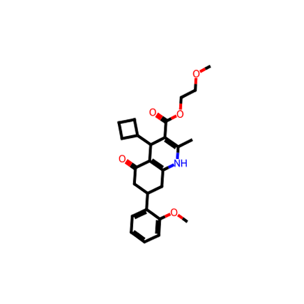 COCCOC(=O)C1=C(C)NC2=C(C(=O)CC(c3ccccc3OC)C2)C1C1CCC1